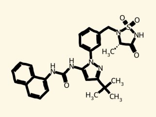 C[C@H]1C(=O)NS(=O)(=O)N1Cc1cccc(-n2nc(C(C)(C)C)cc2NC(=O)Nc2cccc3ccccc23)c1